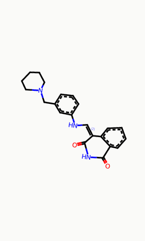 O=C1NC(=O)c2ccccc2/C1=C/Nc1cccc(CN2CCCCC2)c1